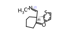 C/N=C\[C@]1(c2cccs2)CCCCC1=O